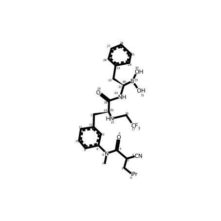 CC(C)CC(C#N)C(=O)N(C)c1cccc(C[C@H](NCC(F)(F)F)C(=O)N[C@@H](Cc2ccccc2)B(O)O)c1